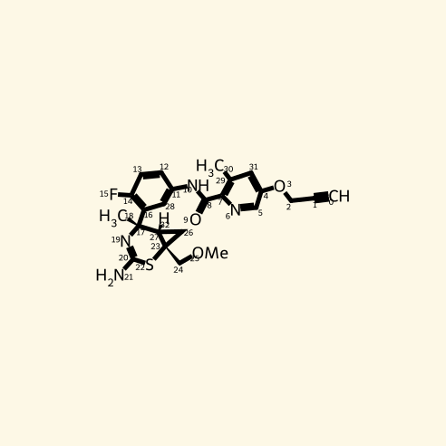 C#CCOc1cnc(C(=O)Nc2ccc(F)c([C@@]3(C)N=C(N)S[C@@]4(COC)C[C@H]43)c2)c(C)c1